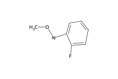 CO[N]c1ccccc1F